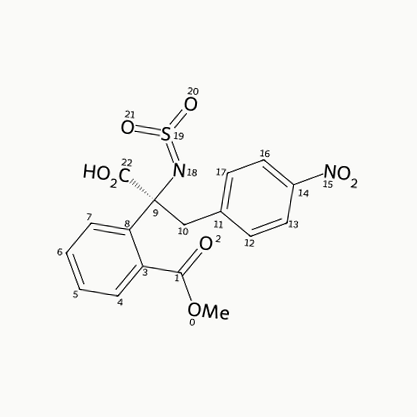 COC(=O)c1ccccc1[C@](Cc1ccc([N+](=O)[O-])cc1)(N=S(=O)=O)C(=O)O